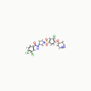 O=C(N[C@H]1CCN(S(=O)(=O)c2ccc(OC3CCNCC3)c(Cl)c2)C1)c1ccc(Cl)c(Cl)c1